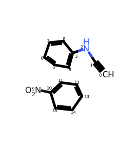 C#CNc1ccccc1.O=[N+]([O-])c1ccccc1